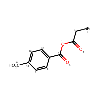 CC(C)CC(=O)OC(=O)c1ccc(C(=O)O)cc1